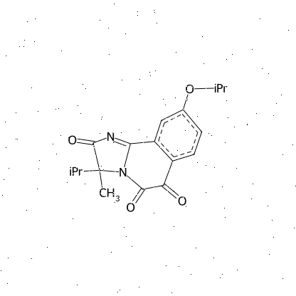 CC(C)Oc1ccc2c(c1)C1=NC(=O)C(C)(C(C)C)N1C(=O)C2=O